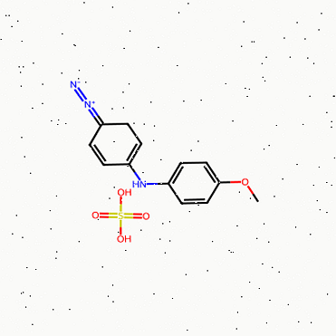 COc1ccc(NC2=CCC(=[N+]=[N-])C=C2)cc1.O=S(=O)(O)O